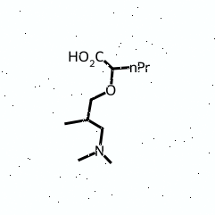 CCCC(OCC(C)CN(C)C)C(=O)O